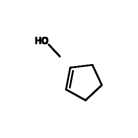 C1=CCCC1.CO